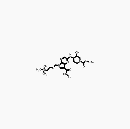 CCCCOC(=O)N1CCC(Nc2cnc3c(n2)c(C(=O)NCC)cn3COCC[Si](C)(C)C)C(O)C1